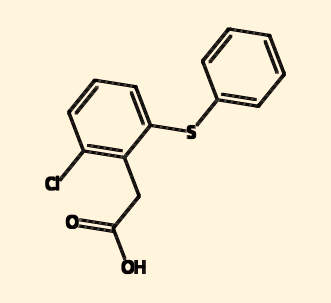 O=C(O)Cc1c(Cl)cccc1Sc1ccccc1